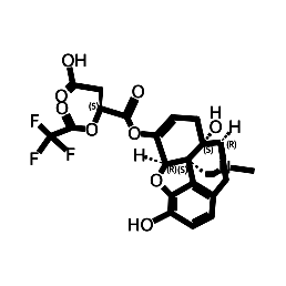 CN1CC[C@]23c4c5ccc(O)c4O[C@H]2C(OC(=O)[C@H](CC(=O)O)OC(=O)C(F)(F)F)=CC[C@@]3(O)[C@H]1C5